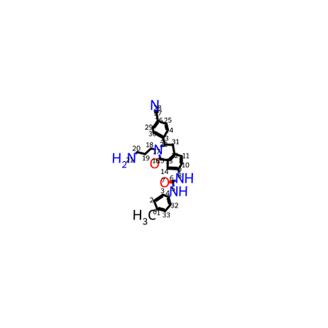 Cc1ccc(NC(=O)Nc2ccc3c(c2)C(=O)N(CCCN)C(c2ccc(C#N)cc2)C3)cc1